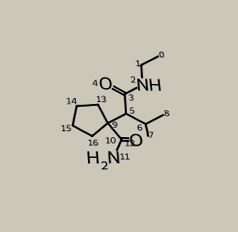 CCNC(=O)C(C(C)C)C1(C(N)=O)CCCC1